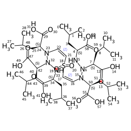 CC(C)C[C@H](NN([C@@H](CC(C)C)C(=O)O)N(/C=C\S(=O)(=O)/C=C\N([C@@H](CC(C)C)C(=O)O)N(N[C@@H](CC(C)C)C(=O)O)[C@@H](CC(C)C)C(=O)O)[C@@H](CC(C)C)C(=O)O)C(=O)O